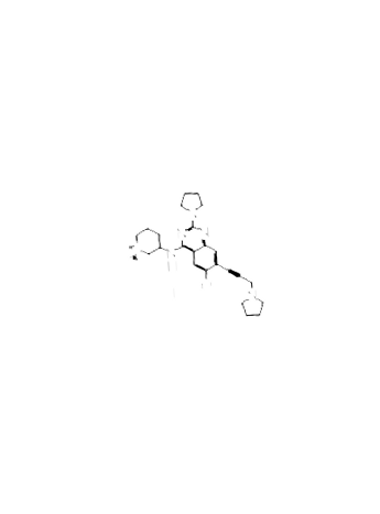 COc1cc2c(NC3CCCS(=O)(=O)C3)nc(N3CCCC3)nc2cc1C#CCN1CCCC1